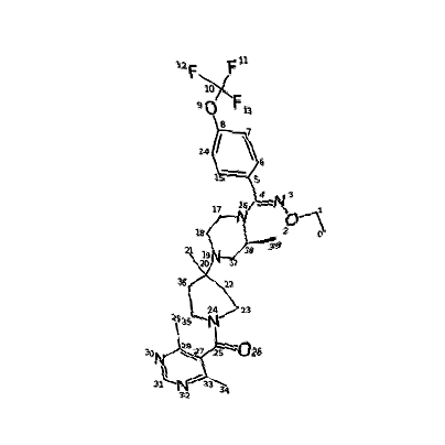 CCON=C(c1ccc(OC(F)(F)F)cc1)N1CCN(C2(C)CCN(C(=O)c3c(C)ncnc3C)CC2)C[C@@H]1C